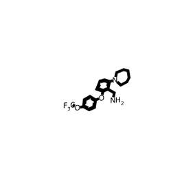 NCc1c(Oc2ccc(OC(F)(F)F)cc2)cccc1N1CCCCCC1